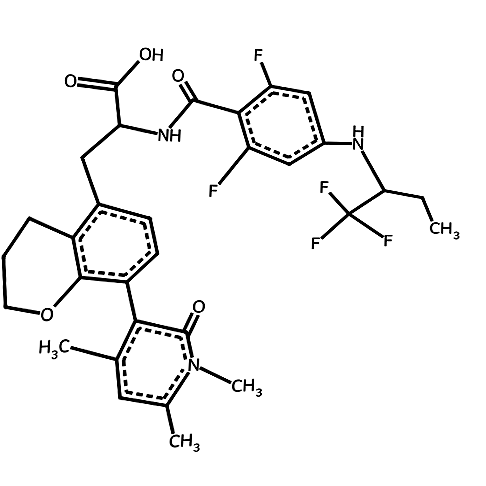 CCC(Nc1cc(F)c(C(=O)NC(Cc2ccc(-c3c(C)cc(C)n(C)c3=O)c3c2CCCO3)C(=O)O)c(F)c1)C(F)(F)F